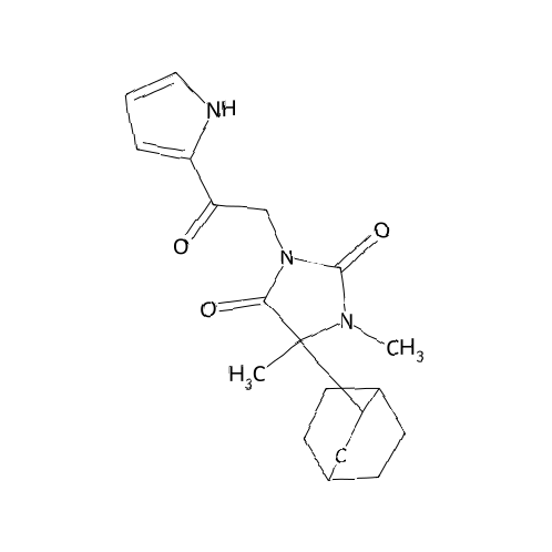 CN1C(=O)N(CC(=O)c2ccc[nH]2)C(=O)C1(C)C1CC2CCC1CC2